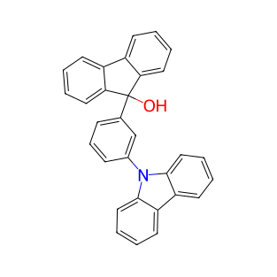 OC1(c2cccc(-n3c4ccccc4c4ccccc43)c2)c2ccccc2-c2ccccc21